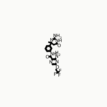 CC1(c2cccc(NC(=O)c3ncc(OCC(F)(F)F)nc3N)c2)CC(=O)NC(N)=N1